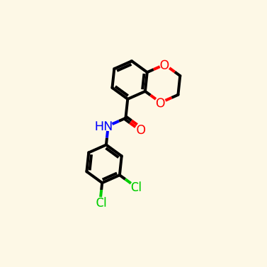 O=C(Nc1ccc(Cl)c(Cl)c1)c1cccc2c1OCCO2